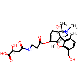 Cc1ccc(CO)c2c1[C@]13CCN(C)[C@H](C)[C@]1(O)CC=C(OC(=O)CCNC(=O)C[C@H](O)C(=O)O)[C@@H]3O2